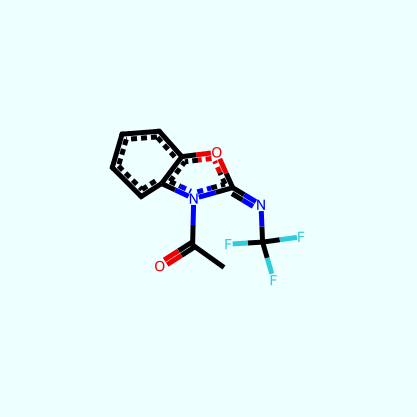 CC(=O)n1/c(=N\C(F)(F)F)oc2ccccc21